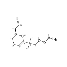 [3H]BSOCC(C)(C)C1=CCC[C@@H](CC=C)O1